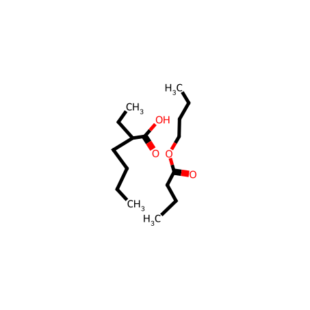 CCCCC(CC)C(=O)O.CCCCOC(=O)CCC